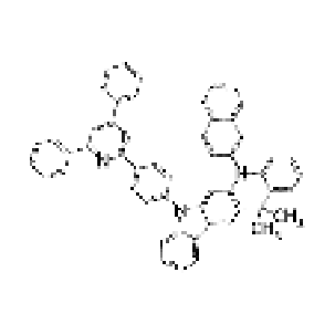 CC1(C)c2ccccc2N(c2ccc3ccccc3c2)c2cc3c(cc21)c1ccccc1n3-c1ccc(-c2nc(-c3ccccc3)cc(-c3ccccc3)n2)cc1